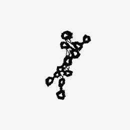 c1ccc(-c2ccc(N(c3cccc(-c4ccccc4)c3)c3cccc4c3c3cccc5c6cc7c(cc6n4c53)c3cccc4c5c(N(c6ccccc6)c6cccc(-c8ccccc8)c6)cccc5n7c34)cc2)cc1